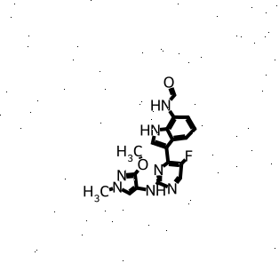 COc1nn(C)cc1Nc1ncc(F)c(-c2c[nH]c3c(NC=O)cccc23)n1